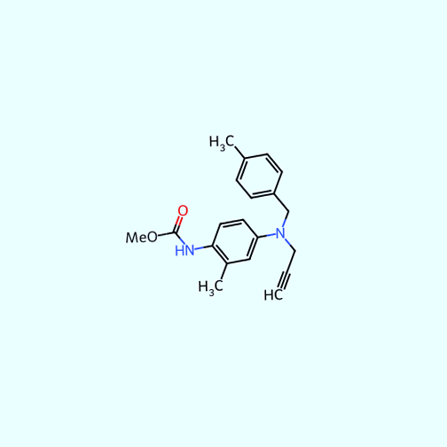 C#CCN(Cc1ccc(C)cc1)c1ccc(NC(=O)OC)c(C)c1